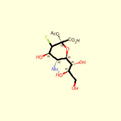 CC(=O)O[C@]1(C(=O)O)O[C@@H]([C@H](O)[C@H](O)CO)[C@H](N)[C@@H](O)C1F